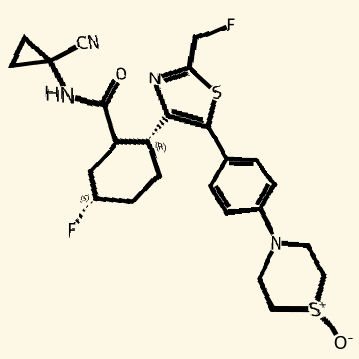 N#CC1(NC(=O)C2C[C@@H](F)CC[C@H]2c2nc(CF)sc2-c2ccc(N3CC[S+]([O-])CC3)cc2)CC1